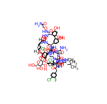 CN[C@H](CC(C)C)C(=O)N[C@H]1C(=O)N[C@@H](CC(N)=O)C(=O)N[C@H]2C(=O)N[C@H]3C(=O)N[C@H](C(=O)N[C@@H](C(=O)NOCC(N)=O)c4cc(O)cc(O)c4-c4cc3ccc4O)[C@H](O)c3ccc(c(Cl)c3)Oc3cc2cc(c3O[C@@H]2O[C@H](CO)[C@@H](O)[C@H](O)[C@H]2O[C@H]2C[C@](C)(NCCn3ccc(NC(=O)Cc4ccc(Cl)c(F)c4)nc3=O)[C@H](O)[C@H](C)O2)Oc2ccc(cc2Cl)[C@H]1O